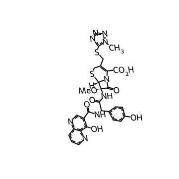 CO[C@@]1(NC(=O)C(NC(=O)c2cnc3cccnc3c2O)c2ccc(O)cc2)C(=O)N2C(C(=O)O)=C(CSc3nnnn3C)CS[C@H]21